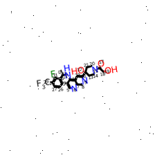 C[C@@H](Nc1ccnc2cnc(C3(O)CCN(C(=O)CO)CC3)cc12)c1cccc(C(F)(F)F)c1F